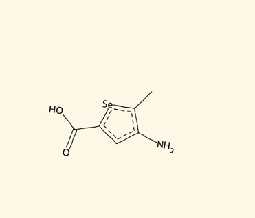 Cc1[se]c(C(=O)O)cc1N